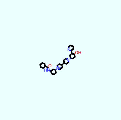 O=C(Nc1cccc(-[n+]2ccc(-c3cc[n+](-c4ccc(O)c(-c5ccccn5)c4)cc3)cc2)c1)c1ccccc1